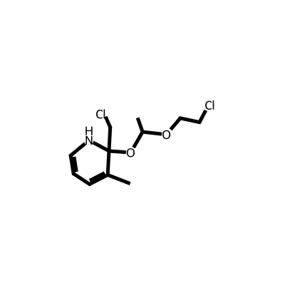 CC1=CC=CNC1(CCl)OC(C)OCCCl